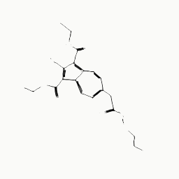 CCOC(=O)c1c2ccc(CC(=O)NOCCO)ccc-2c(C(=O)OCC)c1N